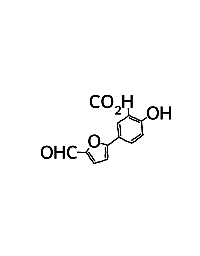 O=Cc1ccc(-c2ccc(O)c(C(=O)O)c2)o1